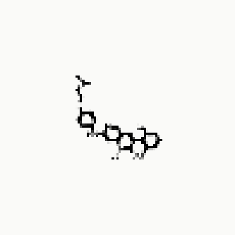 CCn1c(=O)c(-c2c(Cl)cccc2Cl)cc2cnc(Nc3ccc(OCCN(C)C)cc3)cc21